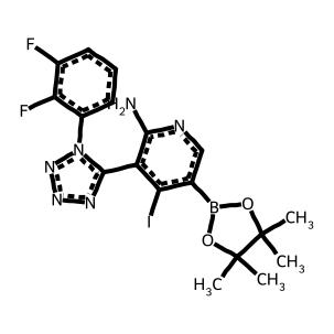 CC1(C)OB(c2cnc(N)c(-c3nnnn3-c3cccc(F)c3F)c2I)OC1(C)C